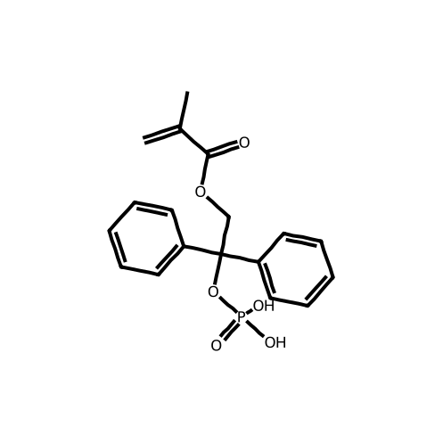 C=C(C)C(=O)OCC(OP(=O)(O)O)(c1ccccc1)c1ccccc1